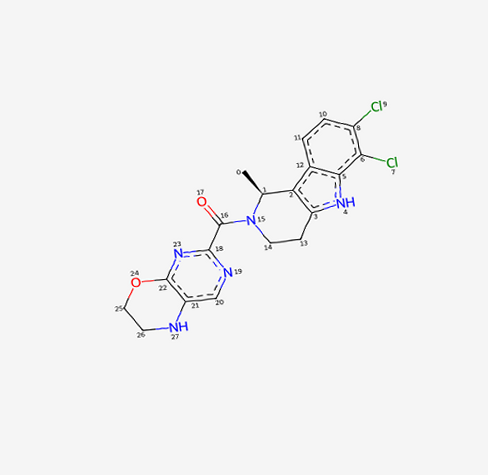 C[C@H]1c2c([nH]c3c(Cl)c(Cl)ccc23)CCN1C(=O)c1ncc2c(n1)OCCN2